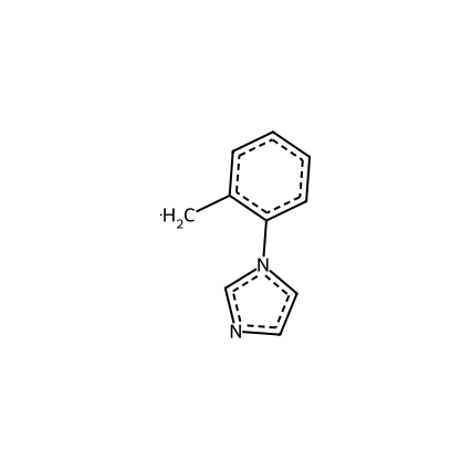 [CH2]c1ccccc1-n1ccnc1